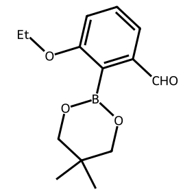 CCOc1cccc(C=O)c1B1OCC(C)(C)CO1